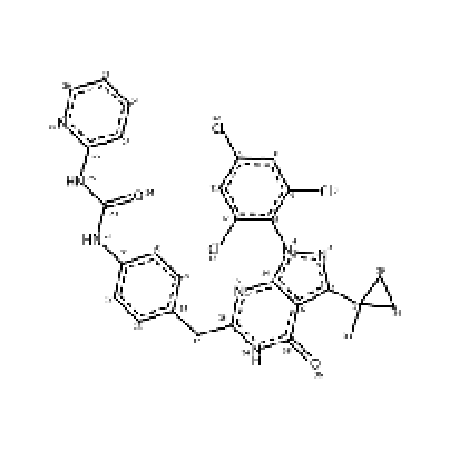 CC1(c2nn(-c3c(Cl)cc(Cl)cc3Cl)c3nc(Cc4ccc(NC(=O)Nc5ccccn5)cc4)[nH]c(=O)c23)CC1